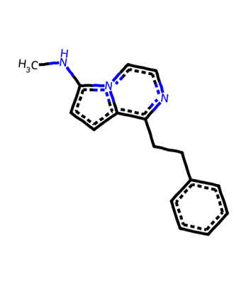 CNc1ccc2c(CCc3ccccc3)nccn12